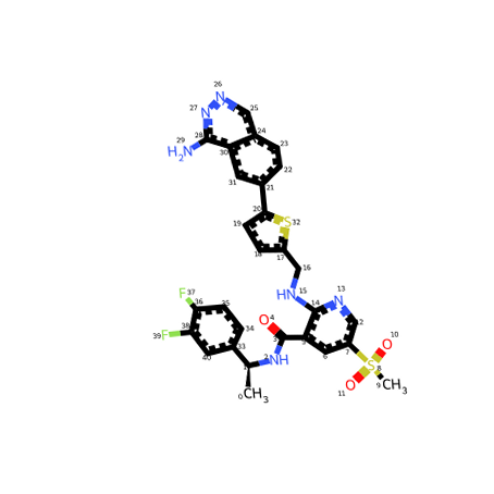 C[C@H](NC(=O)c1cc(S(C)(=O)=O)cnc1NCc1ccc(-c2ccc3cnnc(N)c3c2)s1)c1ccc(F)c(F)c1